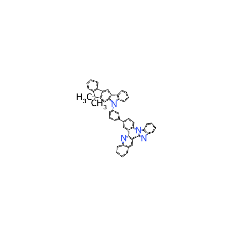 CC1(C)c2ccccc2-c2cc3c4ccccc4n(-c4cccc(-c5ccc6c(c5)c5nc7ccccc7cc5c5nc7ccccc7n65)c4)c3cc21